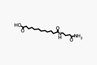 NC(=O)CCCNC(=O)CCCCCCCCCCC(=O)O